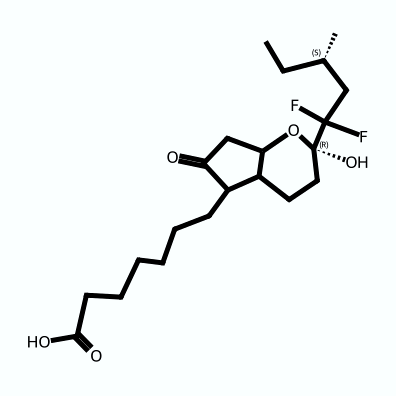 CC[C@H](C)CC(F)(F)[C@@]1(O)CCC2C(CC(=O)C2CCCCCCC(=O)O)O1